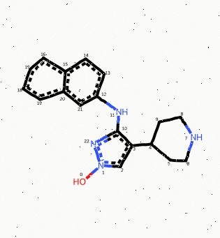 On1cc(C2CCNCC2)c(Nc2ccc3ccccc3c2)n1